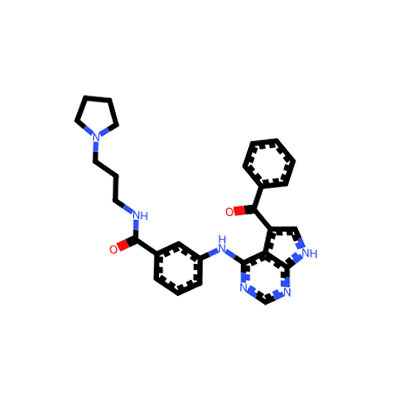 O=C(NCCCN1CCCC1)c1cccc(Nc2ncnc3[nH]cc(C(=O)c4ccccc4)c23)c1